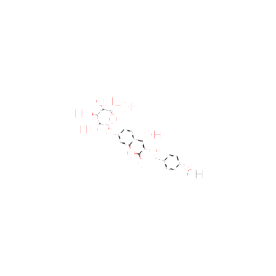 COc1ccc(COc2c(O)c3ccc(O[C@@H]4O[C@H](CO)[C@@H](O)[C@H](O)[C@@H]4O)cc3oc2=O)cc1